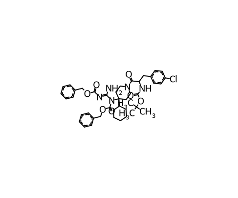 CC(C)(C)OC(=O)NC(Cc1ccc(Cl)cc1)C(=O)N1CCC(C2CCCCC2)(N(C(=O)OCc2ccccc2)/C(N)=N/C(=O)OCc2ccccc2)CC1